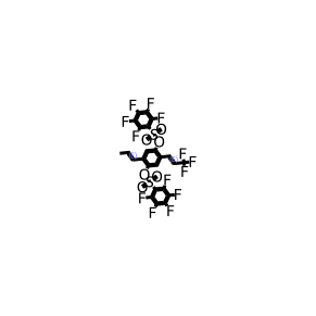 C/C=C/c1cc(OS(=O)(=O)c2c(F)c(F)c(F)c(F)c2F)c(/C=C/C(F)(F)F)cc1OS(=O)(=O)c1c(F)c(F)c(F)c(F)c1F